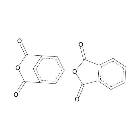 O=C1OC(=O)c2cccc1c2.O=C1OC(=O)c2ccccc21